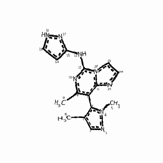 Cc1cnn(C)c1-c1c(C)nc(Nc2cc[nH]n2)n2ccnc12